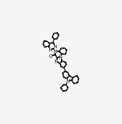 O=c1c2nc3cc(-c4ccc5c(c4)c4ccccc4n5-c4ccccc4)ccc3n2c2ccccc2n1-c1nc(-c2ccccc2)c2ccccc2n1